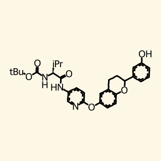 CC(C)[C@H](NC(=O)OC(C)(C)C)C(=O)Nc1ccc(Oc2ccc3c(c2)CCC(c2cccc(O)c2)O3)nc1